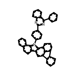 c1ccc(-c2nc(-c3ccc(-n4c5c6ccccc6ccc5c5cc6c7c(cccc7c54)-c4ccccc4-6)cc3)nc3ccccc23)cc1